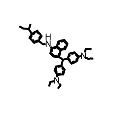 CCC(C)c1ccc(CNc2ccc(C(c3ccc(N(CC)CC)cc3)c3ccc(N(CC)CC)cc3)c3ccccc23)cc1